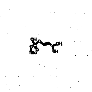 CCCCOP(=O)(O)OC=CC(O)O